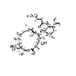 CC[C@H]1OC(=O)[C@H](C)[C@@H](O)[C@H](C)[C@@H](O[C@@H]2O[C@H](C)CC(N(C)C)[C@H]2OC(=O)CCC(=O)O)/C(C)=C/[C@@H](C)CN(C)[C@H](C)[C@@H](O)[C@]1(C)O